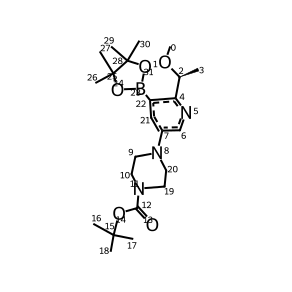 CO[C@@H](C)c1ncc(N2CCN(C(=O)OC(C)(C)C)CC2)cc1B1OC(C)(C)C(C)(C)O1